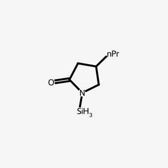 CCCC1CC(=O)N([SiH3])C1